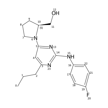 CCCc1cc(N2CCC[C@H]2CO)nc(Nc2ccc(F)cc2)n1